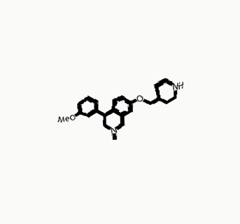 COC1=CCCC(C2CN(C)Cc3cc(OCC4CCNCC4)ccc32)=C1